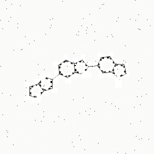 c1cc2ccc(-c3cc4ccc(-c5cc6sccc6s5)cc4s3)cc2[nH]1